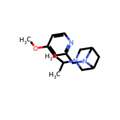 COc1ccnc(CN2C3CC2CN(C(C)C)C3)c1